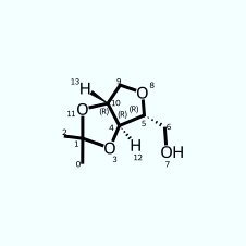 CC1(C)O[C@@H]2[C@@H](CO)OC[C@H]2O1